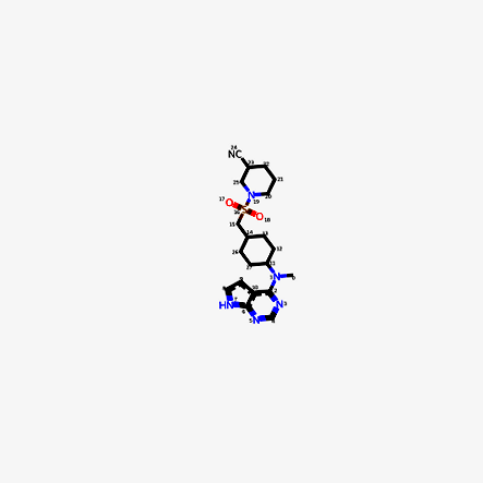 CN(c1ncnc2[nH]ccc12)C1CCC(CS(=O)(=O)N2CCCC(C#N)C2)CC1